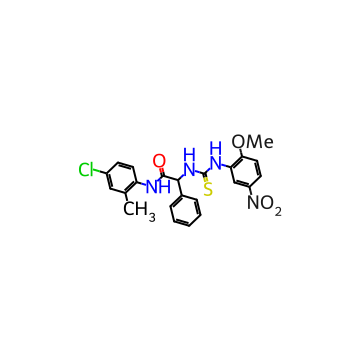 COc1ccc([N+](=O)[O-])cc1NC(=S)NC(C(=O)Nc1ccc(Cl)cc1C)c1ccccc1